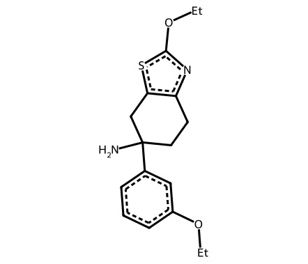 CCOc1cccc(C2(N)CCc3nc(OCC)sc3C2)c1